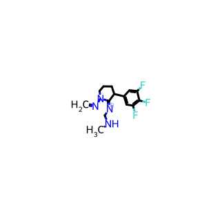 C=NN1CCCC(c2cc(F)c(F)c(F)c2)/C1=N/CNC